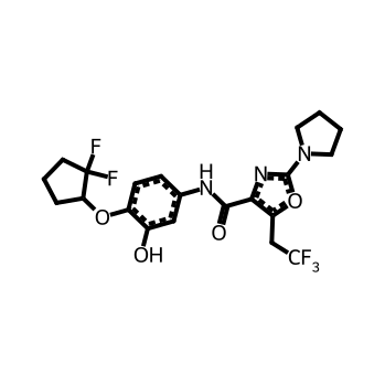 O=C(Nc1ccc(OC2CCCC2(F)F)c(O)c1)c1nc(N2CCCC2)oc1CC(F)(F)F